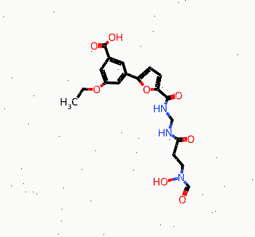 CCOc1cc(C(=O)O)cc(-c2ccc(C(=O)NCNC(=O)CCN(O)C=O)o2)c1